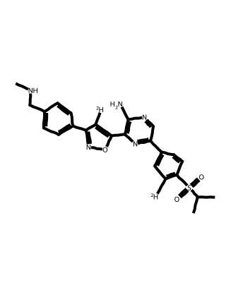 [2H]c1cc(-c2cnc(N)c(-c3onc(-c4ccc(CNC)cc4)c3[2H])n2)ccc1S(=O)(=O)C(C)C